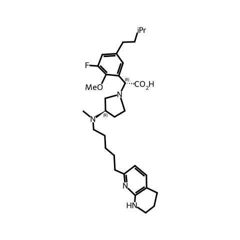 COc1c(F)cc(CCC(C)C)cc1[C@H](C(=O)O)N1CC[C@@H](N(C)CCCCCc2ccc3c(n2)NCCC3)C1